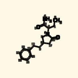 CCC(C(N)=O)N1CC(CCc2ccccc2)CC1=O